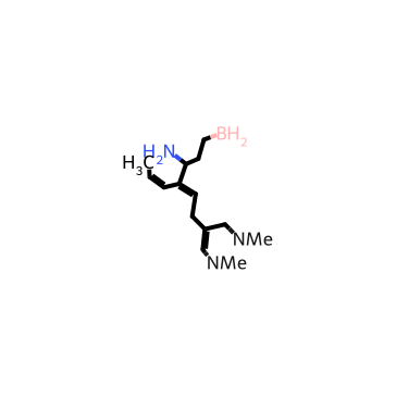 BCCC(N)C(/C=C\C)=C/C/C(=C/NC)CNC